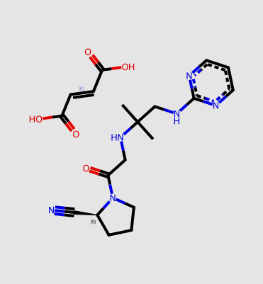 CC(C)(CNc1ncccn1)NCC(=O)N1CCC[C@H]1C#N.O=C(O)/C=C/C(=O)O